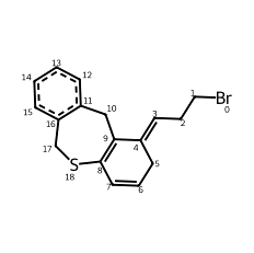 BrCCC=C1CC=CC2=C1Cc1ccccc1CS2